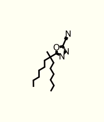 CCCCCCC(C)(CCCCCC)c1nnc(C#N)o1